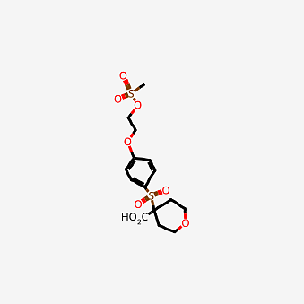 CS(=O)(=O)OCCOc1ccc(S(=O)(=O)C2(C(=O)O)CCOCC2)cc1